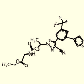 CCOC(=O)CNC(=O)OC(C)n1nc(C#N)c(-c2cc(-c3ccsc3)cc(C(F)(F)F)c2)n1